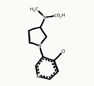 CN(C(=O)O)C1CCN(c2cnccc2Cl)C1